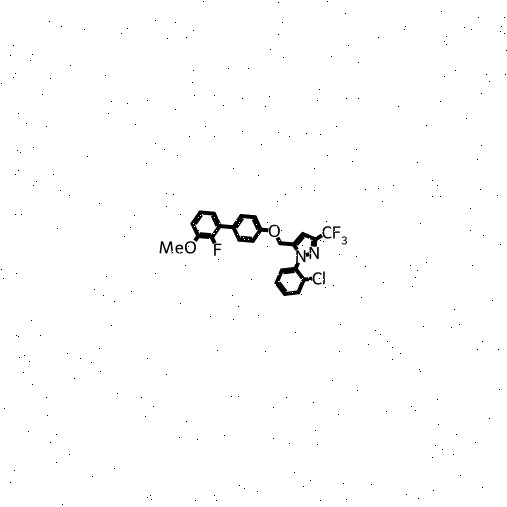 COc1cccc(-c2ccc(OCc3cc(C(F)(F)F)nn3C3=CC=CCC3Cl)cc2)c1F